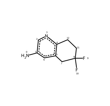 Nc1cnc2c(c1)CC(F)(F)CC2